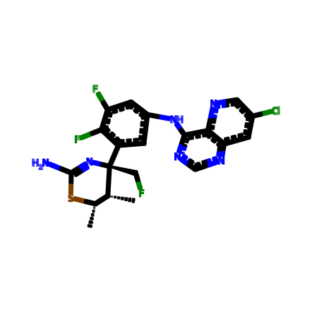 C[C@@H]1SC(N)=N[C@](CF)(c2cc(Nc3ncnc4cc(Cl)cnc34)cc(F)c2F)[C@@H]1C